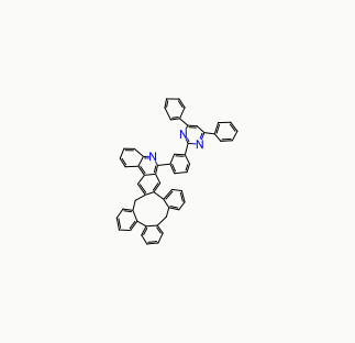 c1ccc(-c2cc(-c3ccccc3)nc(-c3cccc(-c4nc5ccccc5c5cc6c(cc45)-c4ccccc4Cc4ccccc4-c4ccccc4C6)c3)n2)cc1